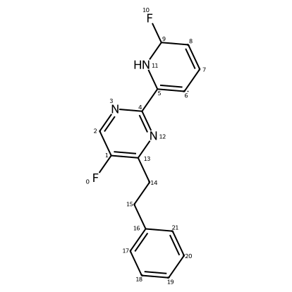 Fc1cnc(C2=[C]C=CC(F)N2)nc1CCc1ccccc1